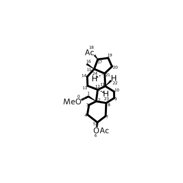 COC[C@]12CCC(OC(C)=O)CC1CC[C@@H]1[C@@H]2CC[C@]2(C)[C@@H](C(C)=O)CC[C@@H]12